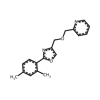 Cc1ccc(-c2nc(COCc3ccccn3)co2)c(C)c1